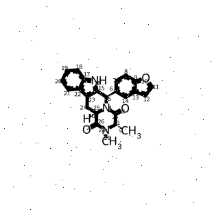 C[C@H]1C(=O)N2[C@H](c3ccc4occc4c3)c3[nH]c4ccccc4c3C[C@@H]2C(=O)N1C